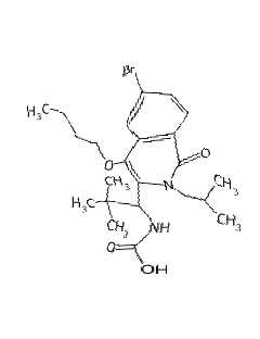 CCCCOc1c(C(NC(=O)O)C(C)(C)C)n(CC(C)C)c(=O)c2ccc(Br)cc12